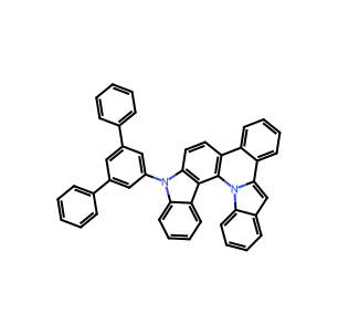 c1ccc(-c2cc(-c3ccccc3)cc(-n3c4ccccc4c4c3ccc3c5ccccc5c5cc6ccccc6n5c34)c2)cc1